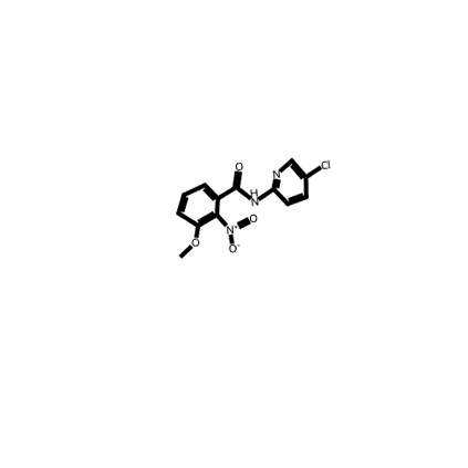 COc1cccc(C(=O)Nc2ccc(Cl)cn2)c1[N+](=O)[O-]